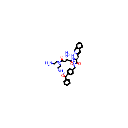 NCCN(CCN)C(=O)C[C@H](N)C(=O)N[C@@H](Cc1cc2ccccc2cn1)C(=O)NCc1ccc(C(=O)c2ccccc2)cc1